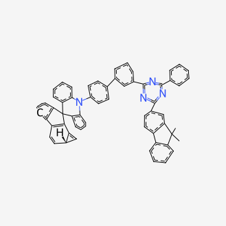 CC1(C)c2ccccc2-c2ccc(-c3nc(-c4ccccc4)nc(-c4cccc(-c5ccc(N6c7ccccc7C7(C8=C(C=C[C@H]9C=C89)c8ccccc87)c7ccccc76)cc5)c4)n3)cc21